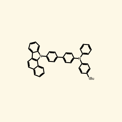 CC(C)(C)c1ccc(N(c2ccccc2)c2ccc(-c3ccc(-n4c5ccccc5c5ccc6ccccc6c54)cc3)cc2)cc1